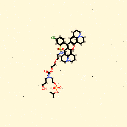 CC(C)OP(=O)([O-])OCCN(CCCO)C(=O)OCCOCCNS(=O)(=O)c1cc(Cl)ccc1C1=c2cc3c4c(c2Oc2c1cc1c5c2CCCN5CCC1)CCC[N+]=4CCC3